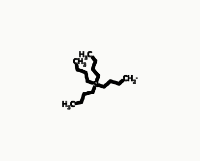 [CH2]CCC[Si](CCCC)(CCCC)CCCC